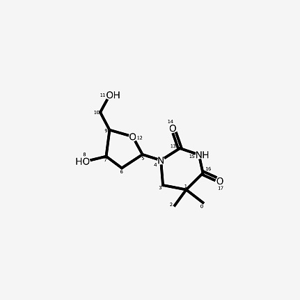 CC1(C)CN(C2CC(O)C(CO)O2)C(=O)NC1=O